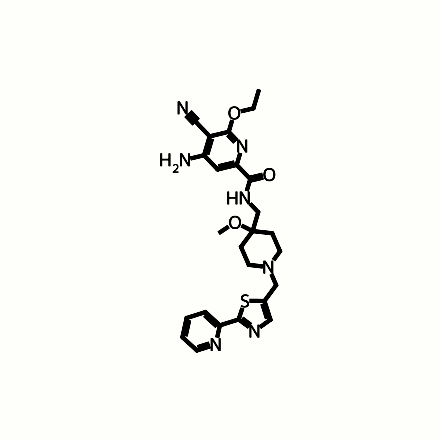 CCOc1nc(C(=O)NCC2(OC)CCN(Cc3cnc(-c4ccccn4)s3)CC2)cc(N)c1C#N